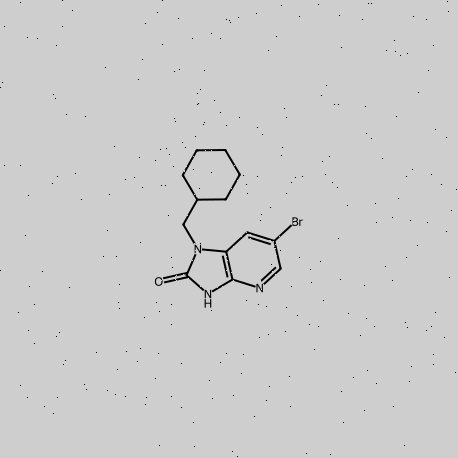 O=c1[nH]c2ncc(Br)cc2n1CC1CCCCC1